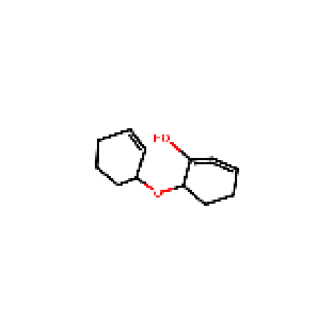 OC1=C=CCCC1OC1C=CCCC1